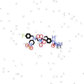 CCNC(=O)Nc1ccc2c(c1)CC[C@@]21OC(=O)N(CC(=O)N(Cc2ccc(F)cc2)C2CCN(S(C)(=O)=O)CC2)C1=O